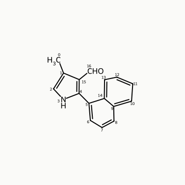 Cc1c[nH]c(-c2cccc3ccccc23)c1C=O